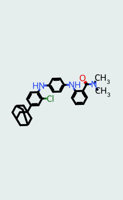 CN(C)C(=O)c1ccccc1Nc1ccc(Nc2ccc(C34CC5CC(CC(C5)C3)C4)cc2Cl)cc1